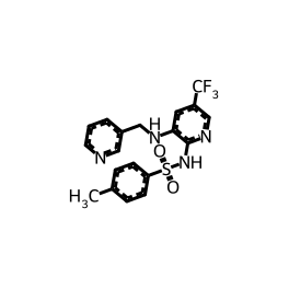 Cc1ccc(S(=O)(=O)Nc2ncc(C(F)(F)F)cc2NCc2cccnc2)cc1